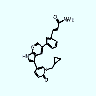 CNC(=O)C=Cc1cccc(-c2cnc3[nH]cc(-c4ccc(=O)n(CC5CC5)c4)c3c2)c1